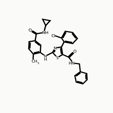 Cc1ccc(C(=O)NC2CC2)cc1Nc1nc(-c2ccccc2Cl)c(C(=O)NCc2ccccc2)s1